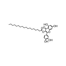 CCCCCCCCCCCCCCCCCC(=O)Oc1c(-c2ccc(O)c(O)c2)oc2cc(O)cc(O)c2c1=O